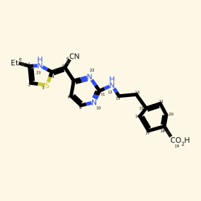 CCC1=CSC(=C(C#N)c2ccnc(NCCc3ccc(C(=O)O)cc3)n2)N1